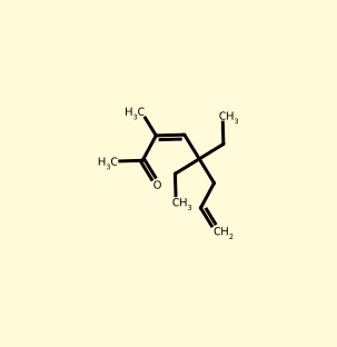 C=CCC(C=C(C)C(C)=O)(CC)CC